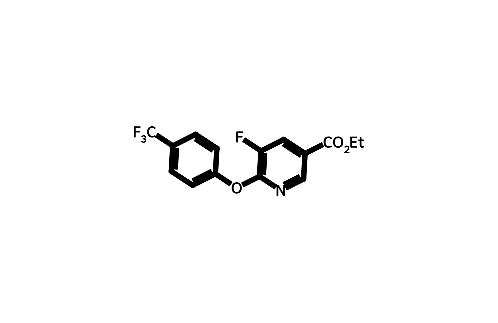 CCOC(=O)c1cnc(Oc2ccc(C(F)(F)F)cc2)c(F)c1